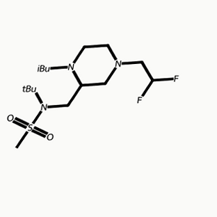 CCC(C)N1CCN(CC(F)F)CC1CN(C(C)(C)C)S(C)(=O)=O